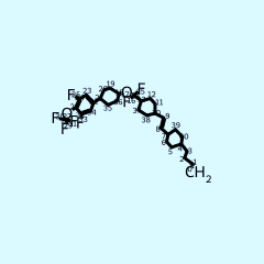 C=CCCC1CCC(/C=C/C2CCC(C(F)(F)OC3CCC(c4cc(F)c(OC(F)(F)F)c(F)c4)CC3)CC2)CC1